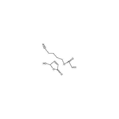 C=CC(=O)OCCCCC#N.O=C1C=CC(O)O1